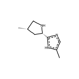 Cc1cnc([C@@H]2C[C@H](C)CN2)[nH]1